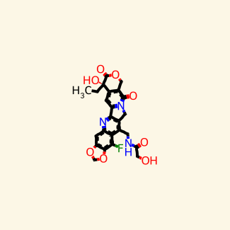 CC[C@@]1(O)C(=O)OCc2c1cc1n(c2=O)Cc2c-1nc1cc3c(c(F)c1c2CNC(=O)CO)OCO3